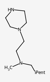 CCCC(C)CN(C)CCN1CCNCC1